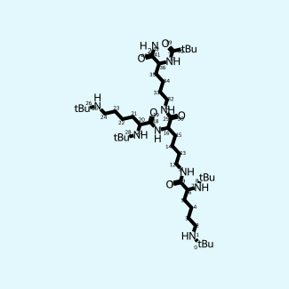 CC(C)(C)NCCCCC(NC(C)(C)C)C(=O)NCCCCC(NC(=O)C(CCCCNC(C)(C)C)NC(C)(C)C)C(=O)NCCCCC(NC(=O)C(C)(C)C)C(N)=O